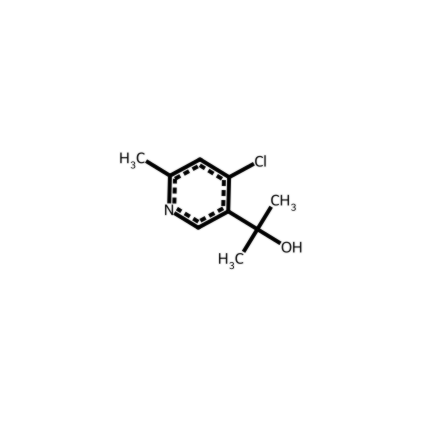 Cc1cc(Cl)c(C(C)(C)O)cn1